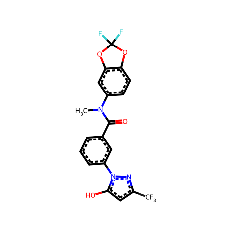 CN(C(=O)c1cccc(-n2nc(C(F)(F)F)cc2O)c1)c1ccc2c(c1)OC(F)(F)O2